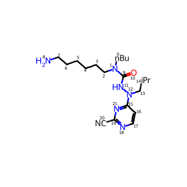 CCCCN(CCCCCCN)C(=O)NN(CC(C)C)c1ccnc(C#N)n1